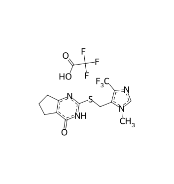 Cn1cnc(C(F)(F)F)c1CSc1nc2c(c(=O)[nH]1)CCC2.O=C(O)C(F)(F)F